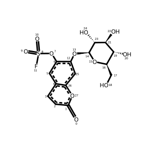 O=c1ccc2cc(OS(=O)(=O)F)c(O[C@@H]3O[C@H](CO)[C@@H](O)[C@H](O)[C@H]3O)cc2o1